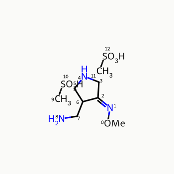 CON=C1CNCC1CN.CS(=O)(=O)O.CS(=O)(=O)O